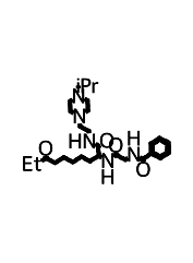 CCC(=O)CCCCCC(NC(=O)CNC(=O)c1ccccc1)C(=O)NCCN1CCN(C(C)C)CC1